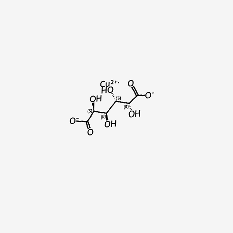 O=C([O-])[C@@H](O)[C@H](O)[C@H](O)[C@@H](O)C(=O)[O-].[Cu+2]